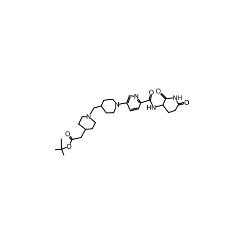 CC(C)(C)OC(=O)CC1CCN(CC2CCN(c3ccc(C(=O)NC4CCC(=O)NC4=O)nc3)CC2)CC1